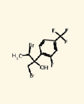 CC(Br)C(O)(CBr)c1ccc(C(F)(F)F)cc1F